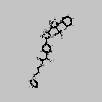 O=C(NCCCn1ccnc1)C(O)c1ccc(-c2noc(-c3noc(-c4ccccc4)c3C(F)(F)F)n2)cc1